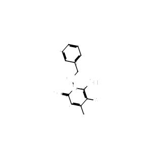 CC(=O)c1c(C)cc(=O)n(OCc2ccccc2)c1O